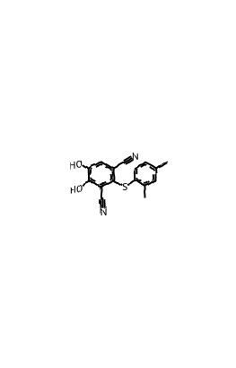 Cc1ccc(Sc2c(C#N)cc(O)c(O)c2C#N)c(C)c1